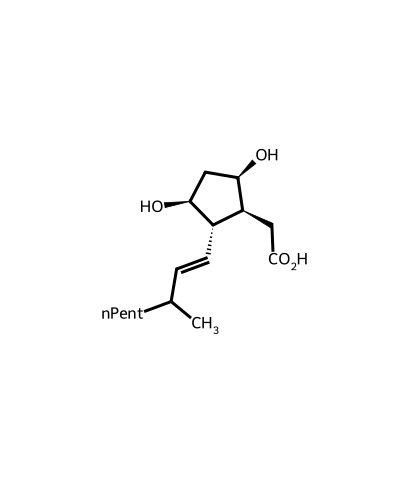 CCCCCC(C)C=C[C@H]1[C@H](CC(=O)O)[C@H](O)C[C@@H]1O